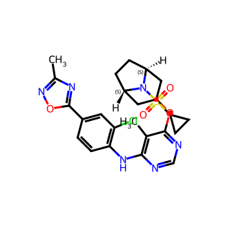 Cc1noc(-c2ccc(Nc3ncnc(OC4C[C@@H]5CC[C@@H](C4)N5S(=O)(=O)C4CC4)c3C)c(Cl)c2)n1